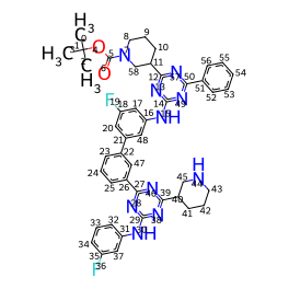 CC(C)(C)OC(=O)N1CCCC(c2nc(Nc3cc(F)cc(-c4cccc(-c5nc(Nc6cccc(F)c6)nc(C6CCCNC6)n5)c4)c3)nc(-c3ccccc3)n2)C1